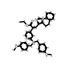 CCOC(=O)/C(=C\c1ncn2c1CCc1ccccc1-2)c1ccnc(N(Cc2ccc(OC)cc2)Cc2ccc(OC)cc2)c1